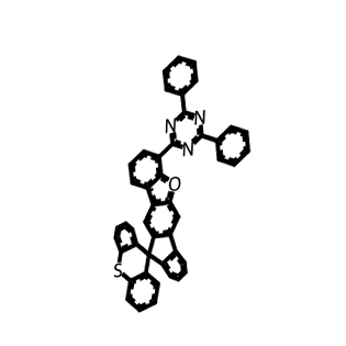 c1ccc(-c2nc(-c3ccccc3)nc(-c3cccc4c3oc3cc5c(cc34)C3(c4ccccc4Sc4ccccc43)c3ccccc3-5)n2)cc1